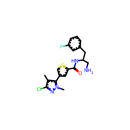 Cc1c(Cl)nn(C)c1-c1csc(C(=O)NC(CN)Cc2cccc(F)c2)c1